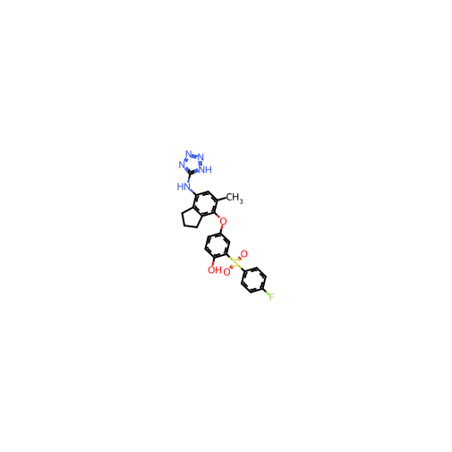 Cc1cc(Nc2nnn[nH]2)c2c(c1Oc1ccc(O)c(S(=O)(=O)c3ccc(F)cc3)c1)CCC2